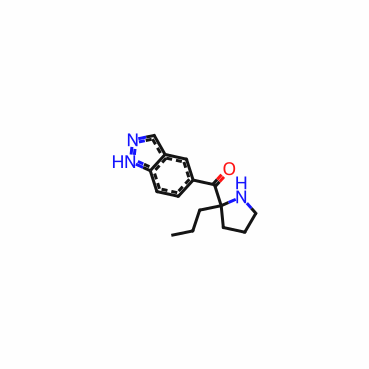 CCCC1(C(=O)c2ccc3[nH]ncc3c2)CCCN1